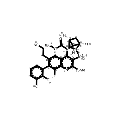 CSc1nc2c(F)c(-c3cccc(Cl)c3Cl)c(CCC#N)cc2c(N(C(=O)OC(C)(C)C)[C@H]2[C@@H]3C[C@H]2N(C(=O)O)C3)c1N